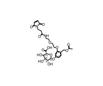 CC(=O)OCc1ccc(O[C@@H]2O[C@H](C(=O)O)[C@@H](O)[C@H](O)[C@H]2O)cc1OCCOCCNC(=O)CCN1C(=O)C=CC1=O